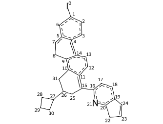 Ic1ccc2c(c1)=CCc1c3c(ccc1=2)=C(c1ccc2c(n1)CC=[C]2)CC(C1CCC1)C3